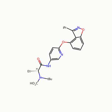 CC[C@H](C(=O)Nc1ccc(Oc2cccc3onc(C(C)C)c23)nc1)N(C(=O)O)C(C)(C)C